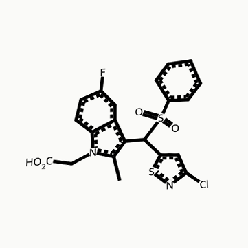 Cc1c(C(c2cc(Cl)ns2)S(=O)(=O)c2ccccc2)c2cc(F)ccc2n1CC(=O)O